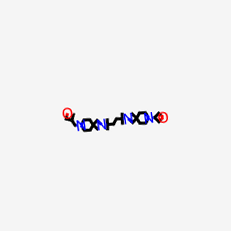 CC(C)(CCC(C)(C)N1CC2(CCN(C3COC3)CC2)C1)N1CC2(CCN(CC3COC3)CC2)C1